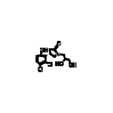 O=C1C[C@@H](c2c(O)ccc(Cl)c2Cl)CN1C[C@H](O)CO